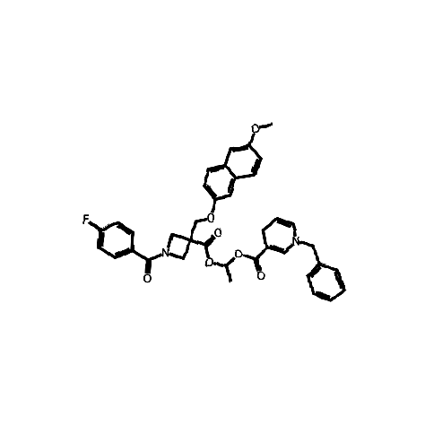 COc1ccc2cc(OCC3(C(=O)OC(C)OC(=O)C4=CN(Cc5ccccc5)C=CC4)CN(C(=O)c4ccc(F)cc4)C3)ccc2c1